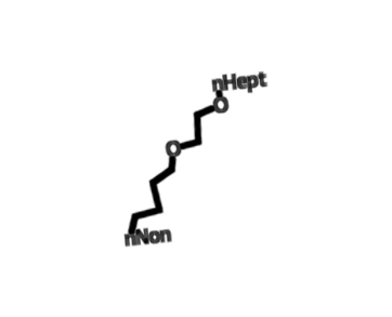 CCCCCCCCCCCCCOCCOCCCCCCC